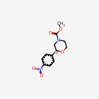 COC(=O)N1CCO[C@@H](c2ccc([N+](=O)[O-])cc2)C1